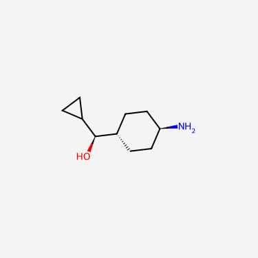 N[C@H]1CC[C@H]([C@@H](O)C2CC2)CC1